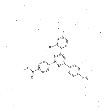 COC(=O)c1ccc(-c2nc(-c3ccc(N)cc3)nc(-c3ccc(C)cc3O)n2)cc1